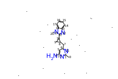 Cc1nc(N)cc(CC2C[C@H]2c2nc3ccccc3n2C)n1